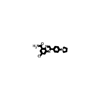 NC(=O)c1cc(Cl)cc2nc(-c3ccc(N4CCCC4)cc3)cnc12